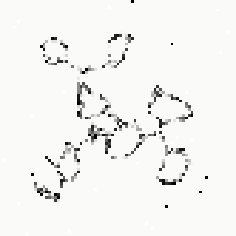 Cc1cc(-n2c3ccc(N(c4ccccc4)c4ccccc4)cc3c3cc(N(c4ccccc4)c4ccccc4)ccc32)ccc1Br